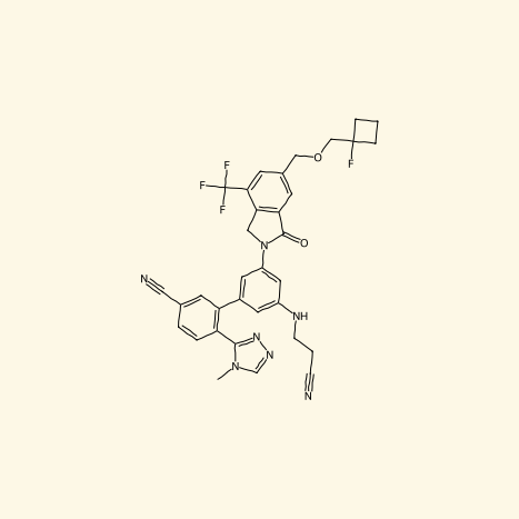 Cn1cnnc1-c1ccc(C#N)cc1-c1cc(NCCC#N)cc(N2Cc3c(cc(COCC4(F)CCC4)cc3C(F)(F)F)C2=O)c1